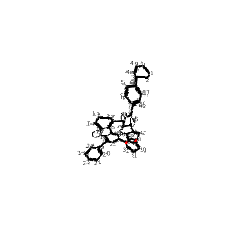 c1ccc(-c2ccc(-c3nc(-c4cccc5oc6c(-c7ccccc7)cc(-c7ccccc7)cc6c45)c4sc5ccccc5c4n3)cc2)cc1